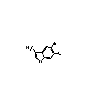 Cc1coc2cc(Cl)c(Br)cc12